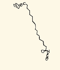 CCCCCCCCCCCCCCCCCCCCCCCCCC(=O)N=C=O